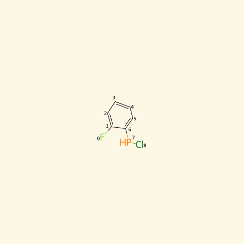 Fc1ccccc1PCl